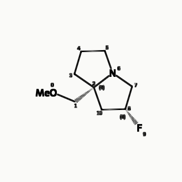 COC[C@]12CCCN1C[C@H](F)C2